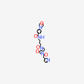 O=C(NCCCCC(=O)N1CCC2C1C(=O)CN2C(=O)Cc1cccnc1)c1ccc(N2CCOCC2)cc1